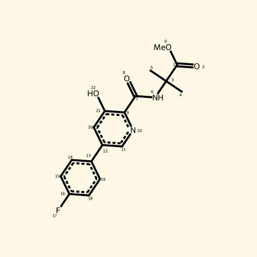 COC(=O)C(C)(C)NC(=O)c1ncc(-c2ccc(F)cc2)cc1O